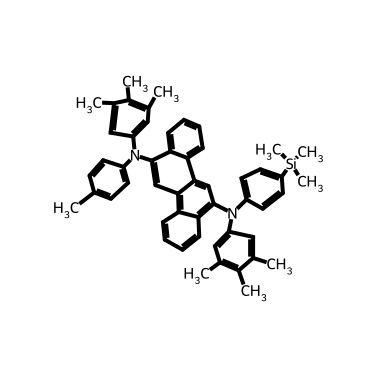 Cc1ccc(N(c2cc(C)c(C)c(C)c2)c2cc3c4ccccc4c(N(c4ccc([Si](C)(C)C)cc4)c4cc(C)c(C)c(C)c4)cc3c3ccccc23)cc1